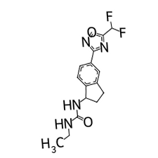 CCNC(=O)NC1CCc2cc(-c3noc(C(F)F)n3)ccc21